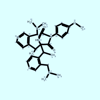 CC(c1ccncc1CN(C)C)C1(C(C)c2ccncc2CN(C)C)NC(=O)N(c2ccc(OC(F)(F)F)cc2)C1=O